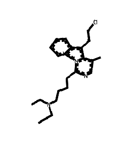 CCN(CC)CCCCc1ncc(C)c2c(CCCl)c3ccccc3n12